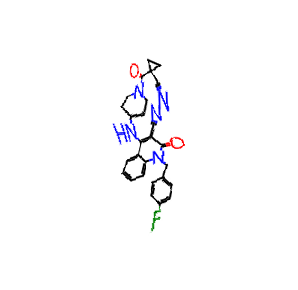 N#Cc1c(NC2CCN(C(=O)C3(C#N)CC3)CC2)c2ccccc2n(Cc2ccc(F)cc2)c1=O